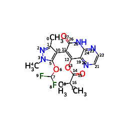 Cc1nn(C)c(OC(F)F)c1-c1c(OC(=O)C(C)C)c2nccnc2[nH]c1=O